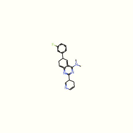 CN(C)c1nc(C2C=NC=CC2)nc2c1=CC(c1cccc(F)c1)CC=2